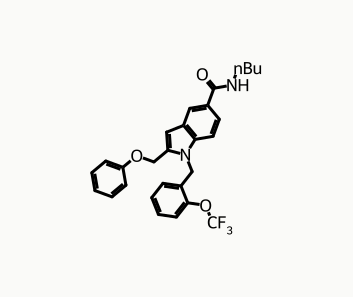 CCCCNC(=O)c1ccc2c(c1)cc(COc1ccccc1)n2Cc1ccccc1OC(F)(F)F